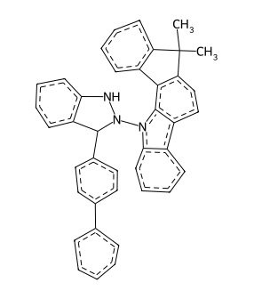 CC1(C)c2ccccc2-c2c1ccc1c3ccccc3n(N3Nc4ccccc4C3c3ccc(-c4ccccc4)cc3)c21